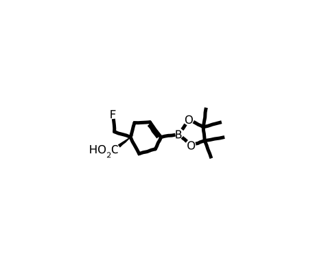 CC1(C)OB(C2=CC[C@](CF)(C(=O)O)CC2)OC1(C)C